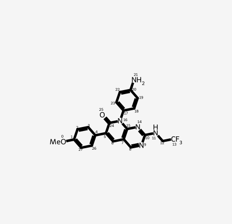 COc1ccc(-c2cc3cnc(NCC(F)(F)F)nc3n(-c3ccc(N)cc3)c2=O)cc1